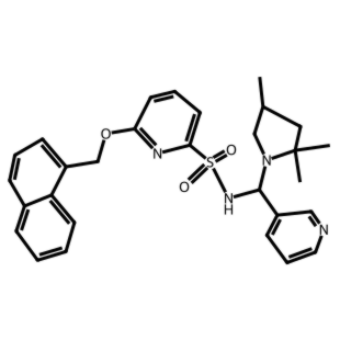 CC1CN(C(NS(=O)(=O)c2cccc(OCc3cccc4ccccc34)n2)c2cccnc2)C(C)(C)C1